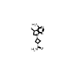 Nc1ncnc2c1C(I)CN2[C@H]1C[C@@H](C(N)=O)C1